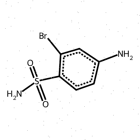 Nc1ccc(S(N)(=O)=O)c(Br)c1